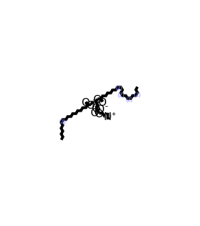 CC/C=C\C/C=C\C/C=C\C/C=C\CCCCCCC(=O)O[C@H](COC(=O)CCCCCCCCC/C=C\CCCCCC)COP(=O)([O-])OCC[N+](C)(C)C